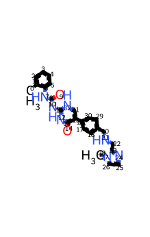 Cc1ccccc1NC(=O)Nc1nc(=O)c(-c2ccc(CNCc3nccn3C)cc2)c[nH]1